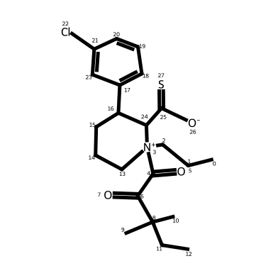 CCC[N+]1(C(=O)C(=O)C(C)(C)CC)CCCC(c2cccc(Cl)c2)C1C([O-])=S